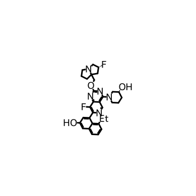 CCc1cccc2cc(O)cc(-c3ncc4c(N5CCC[C@@H](O)C5)nc(OCC56CCCN5C[C@H](F)C6)nc4c3F)c12